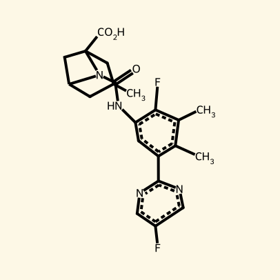 Cc1c(-c2ncc(F)cn2)cc(NC(=O)N2C3CC(C)CC2(C(=O)O)C3)c(F)c1C